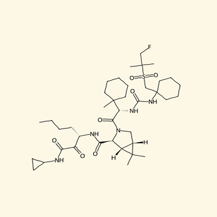 CCCC[C@H](NC(=O)[C@@H]1[C@@H]2[C@H](CN1C(=O)[C@@H](NC(=O)NC1(CS(=O)(=O)C(C)(C)CF)CCCCC1)C1(C)CCCCC1)C2(C)C)C(=O)C(=O)NC1CC1